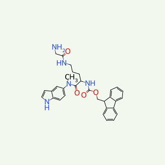 CN(C(=O)C(CCCNC(=O)CN)NC(=O)OCC1c2ccccc2-c2ccccc21)c1ccc2[nH]ccc2c1